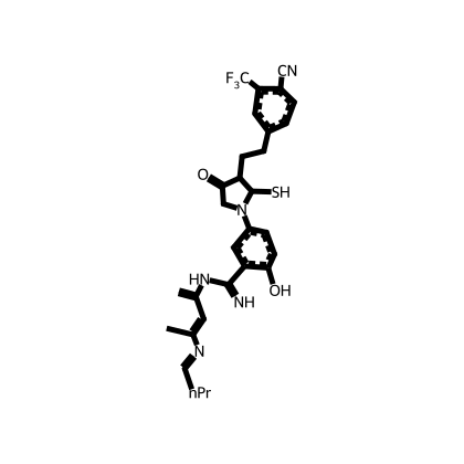 C=C(/C=C(C)/N=C/CCC)NC(=N)c1cc(N2CC(=O)C(CCc3ccc(C#N)c(C(F)(F)F)c3)C2S)ccc1O